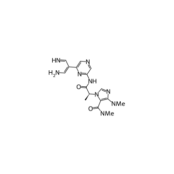 CNC(=O)c1c(NC)ncn1[C@@H](C)C(=O)Nc1cncc(/C(C=N)=C/N)n1